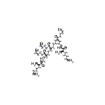 CC/C=C\CCC(=O)N(CCCCN(CCCN(CCCNC(=O)[C@H](N)CCCCN)C(=O)CC/C=C\CC)C(=O)CC/C=C\CC)CCCNC(=O)[C@H](N)CCCCN